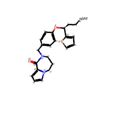 CNCC[C@H](Oc1ccc(CN2CCCn3cccc3C2=O)cc1)c1cccs1